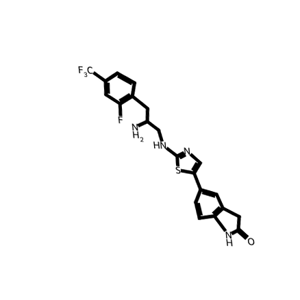 NC(CNc1ncc(-c2ccc3c(c2)CC(=O)N3)s1)Cc1ccc(C(F)(F)F)cc1F